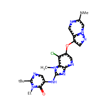 CCn1c(C(C)(C)C)ncc(Nc2nc3ncc(Oc4cnn5cc(NC)ncc45)c(Cl)c3n2C)c1=O